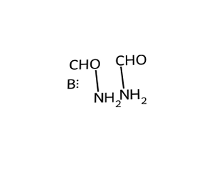 NC=O.NC=O.[B]